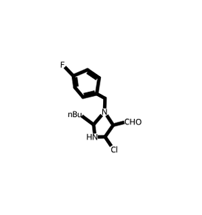 CCCCC1NC(Cl)C(C=O)N1Cc1ccc(F)cc1